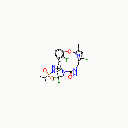 Cc1cc(F)c2nc1Oc1cccc(c1F)C[C@H]1[C@@H](NS(=O)(=O)C(C)C)C(F)(F)CN1C(=O)NC2